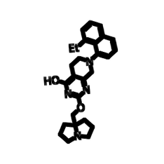 CCc1cccc2cccc(N3CCc4c(O)nc(OCC56CCCN5CCC6)nc4C3)c12